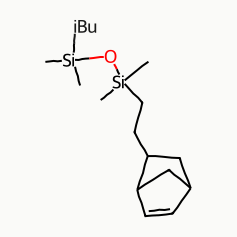 CCC(C)[Si](C)(C)O[Si](C)(C)CCC1CC2C=CC1C2